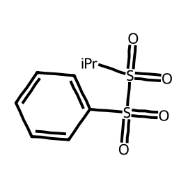 CC(C)S(=O)(=O)S(=O)(=O)c1ccccc1